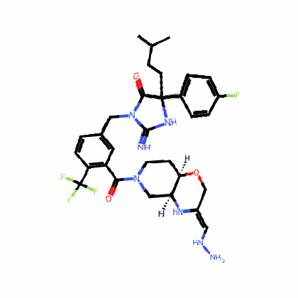 CC(C)CCC1(c2ccc(F)cc2)NC(=N)N(Cc2ccc(C(F)(F)F)c(C(=O)N3CC[C@H]4OC/C(=C/NN)N[C@H]4C3)c2)C1=O